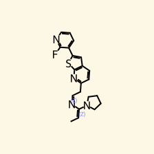 C/C=C(\N=C/Cc1ccc2cc(-c3cccnc3F)sc2n1)N1CCCC1